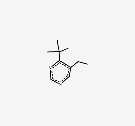 CCc1cncnc1C(C)(C)C